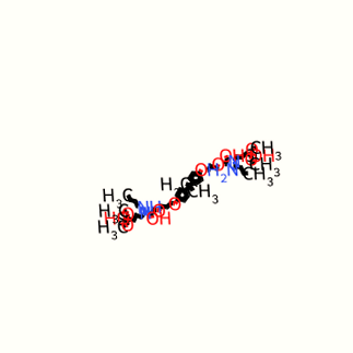 CCCCNN(CCC[Si](O)(OC)OC)C(O)COCCCOc1ccc(C(C)(C)c2ccc(OCCCOCC(O)N(CCC[Si](O)(OC)OC)C(N)CCC)cc2)cc1